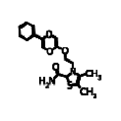 CC1=C(C)N(CCOC2=COC(C3=CC=CCC3)=CO2)C(C(N)=O)S1